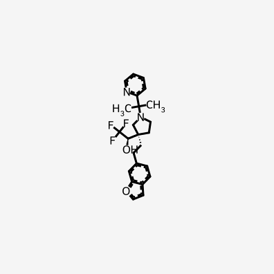 CC(C)(c1ccccn1)N1CC[C@@](CCc2ccc3ccoc3c2)([C@@H](O)C(F)(F)F)C1